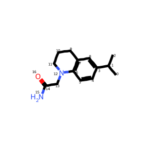 CC(C)c1ccc2c(c1)CCCN2CC(N)=O